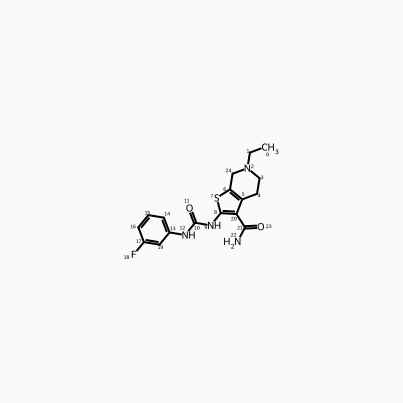 CCN1CCc2c(sc(NC(=O)Nc3cccc(F)c3)c2C(N)=O)C1